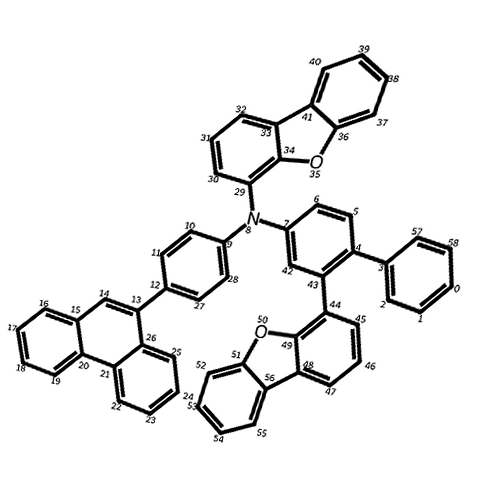 c1ccc(-c2ccc(N(c3ccc(-c4cc5ccccc5c5ccccc45)cc3)c3cccc4c3oc3ccccc34)cc2-c2cccc3c2oc2ccccc23)cc1